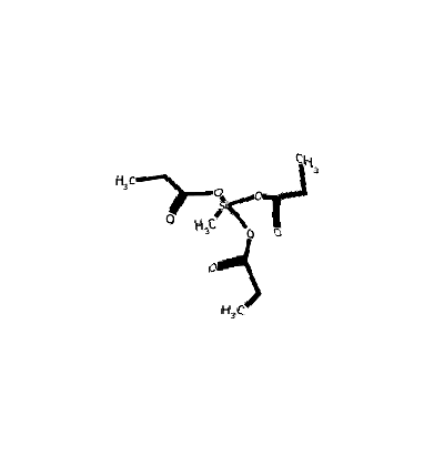 CCC(=O)O[Si](C)(OC(=O)CC)OC(=O)CC